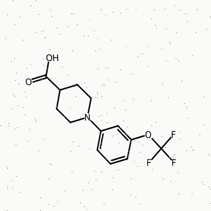 O=C(O)C1CCN(c2cccc(OC(F)(F)F)c2)CC1